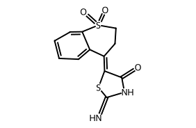 N=C1NC(=O)C(=C2CCS(=O)(=O)c3ccccc32)S1